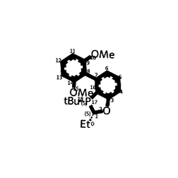 CC[C@H]1Oc2cccc(-c3c(OC)cccc3OC)c2[P@@]1C(C)(C)C